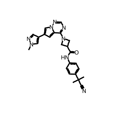 Cn1cc(-c2cc3c(N4CC(C(=O)Nc5ccc(C(C)(C)C#N)cc5)C4)ncnn3c2)cn1